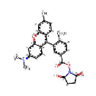 Cc1ccc2c(-c3cc(C(=O)ON4C(=O)CCC4=O)ccc3C(=O)O)c3ccc(=[N+](C)C)cc-3oc2c1